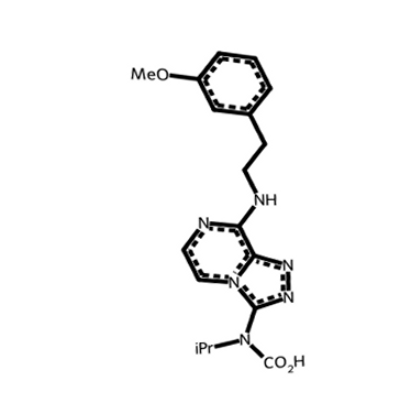 COc1cccc(CCNc2nccn3c(N(C(=O)O)C(C)C)nnc23)c1